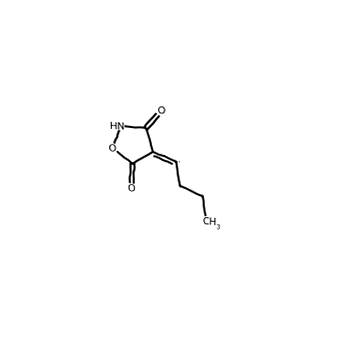 CCC/[C]=C1/C(=O)NOC1=O